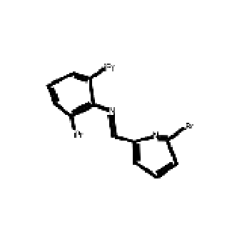 CC(C)c1cccc(C(C)C)c1N=Cc1cccc(Br)n1